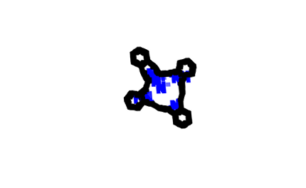 [N-]=[n+]1c2c3nc(c1=c1[nH]c(c4ccccc14)=CC1=NC(=Cc4[nH]c-2c2ccccc42)c2ccccc21)-c1ccccc1-3